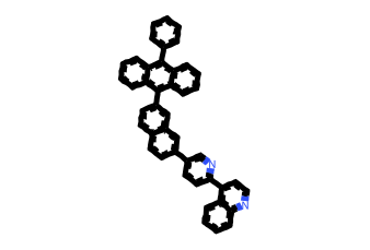 c1ccc(-c2c3ccccc3c(-c3ccc4ccc(-c5ccc(-c6ccnc7ccccc67)nc5)cc4c3)c3ccccc23)cc1